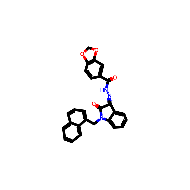 O=C(N/N=C1\C(=O)N(Cc2cccc3ccccc23)c2ccccc21)c1ccc2c(c1)OCO2